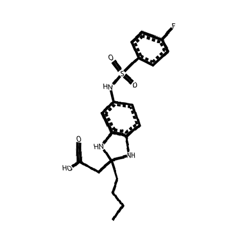 CCCCC1(CC(=O)O)Nc2ccc(NS(=O)(=O)c3ccc(F)cc3)cc2N1